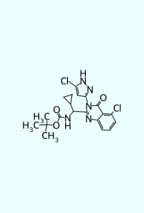 CC(C)(C)OC(=O)NC(c1nc2cccc(Cl)c2c(=O)n1-c1cc(Cl)[nH]n1)C1CC1